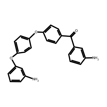 Nc1cccc(Oc2ccc(Oc3ccc(C(=O)c4cccc(N)c4)cc3)cc2)c1